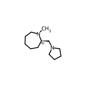 CN1CCCCC[C@@H]1CN1CCCC1